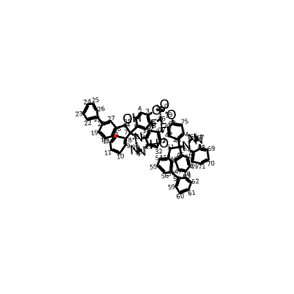 O=P(Oc1ccc(C(c2ccccc2)(C(O)c2cccc(-c3ccccc3)c2)n2nnc3ccccc32)cc1)(Oc1ccc(C(c2ccccc2)(C(O)c2cccc(-c3ccccc3)c2)n2nnc3ccccc32)cc1)C(F)F